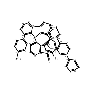 Cc1ccc(-c2cccc3c4cccc(-c5ccc(C)cc5)c4n(-c4cccc5c4C(=O)N(c4cc(-c6ccccc6)ccc4-c4ccccc4)C5=O)c23)cc1